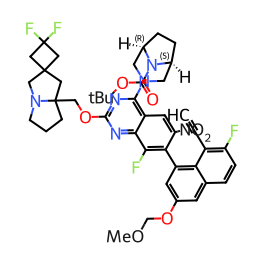 C#Cc1c(F)ccc2cc(OCOC)cc(-c3c([N+](=O)[O-])cc4c(N5C[C@H]6CC[C@@H](C5)N6C(=O)OC(C)(C)C)nc(OCC56CCCN5CC5(CC(F)(F)C5)C6)nc4c3F)c12